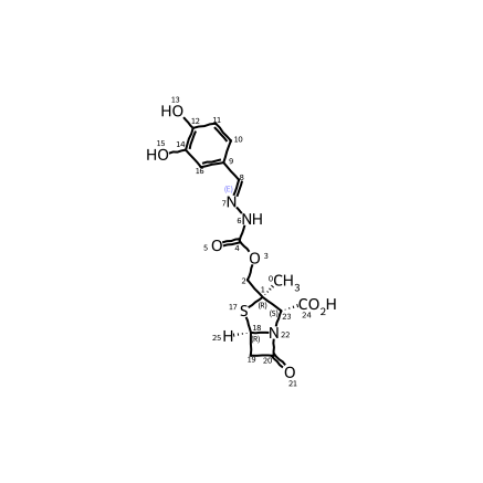 C[C@@]1(COC(=O)N/N=C/c2ccc(O)c(O)c2)S[C@@H]2CC(=O)N2[C@H]1C(=O)O